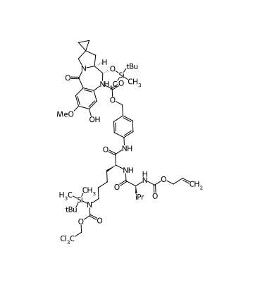 C=CCOC(=O)N[C@H](C(=O)N[C@@H](CCCCN(C(=O)OCC(Cl)(Cl)Cl)[Si](C)(C)C(C)(C)C)C(=O)Nc1ccc(COC(=O)N2c3cc(O)c(OC)cc3C(=O)N3CC4(CC4)C[C@H]3[C@@H]2O[Si](C)(C)C(C)(C)C)cc1)C(C)C